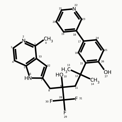 Cc1nccc2[nH]c(CC(O)(CC(C)(C)c3cc(-c4cccnc4)ccc3O)C(F)(F)F)cc12